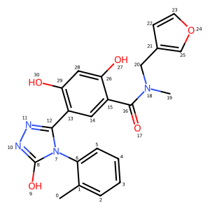 Cc1ccccc1-n1c(O)nnc1-c1cc(C(=O)N(C)Cc2ccoc2)c(O)cc1O